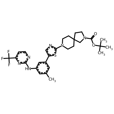 Cc1cc(Nc2nccc(C(F)(F)F)n2)cc(-c2cnc(N3CCC4(CCN(C(=O)OC(C)(C)C)C4)CC3)s2)c1